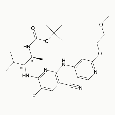 COCCOc1cc(Nc2nc(N[C@H](C(C)C)[C@H](C)NC(=O)OC(C)(C)C)c(F)cc2C#N)ccn1